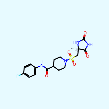 C[C@]1(CS(=O)(=O)N2CCC(C(=O)Nc3ccc(F)cc3)CC2)NC(=O)NC1=O